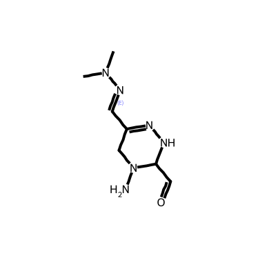 CN(C)/N=C/C1=NNC(C=O)N(N)C1